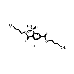 CCCCOC(=O)c1ccc(C(=O)OCCCC)c(S(=O)(=O)O)c1.[KH]